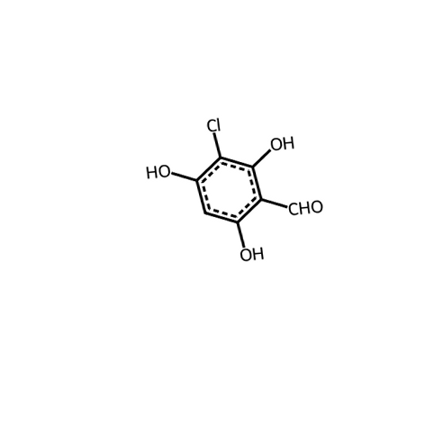 O=Cc1c(O)cc(O)c(Cl)c1O